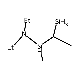 CCN(CC)[SiH](C)C(C)[SiH3]